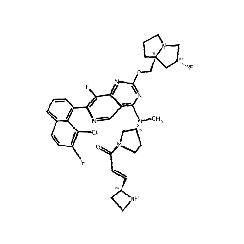 CN(c1nc(OC[C@@]23CCCN2C[C@H](F)C3)nc2c(F)c(-c3cccc4ccc(F)c(Cl)c34)ncc12)[C@@H]1CCN(C(=O)/C=C/[C@@H]2CCN2)C1